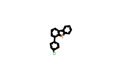 Clc1ccc(-c2cccc3c2sc2ccccc23)cc1